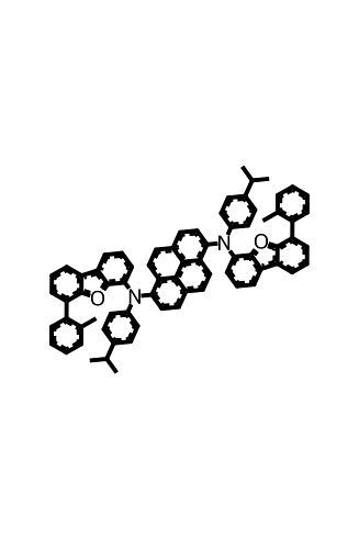 Cc1ccccc1-c1cccc2c1oc1c(N(c3ccc(C(C)C)cc3)c3ccc4ccc5c(N(c6ccc(C(C)C)cc6)c6cccc7c6oc6c(-c8ccccc8C)cccc67)ccc6ccc3c4c65)cccc12